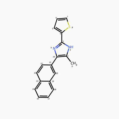 Cc1[nH]c(-c2cccs2)nc1-c1ccc2ccccc2c1